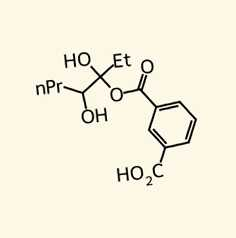 CCCC(O)C(O)(CC)OC(=O)c1cccc(C(=O)O)c1